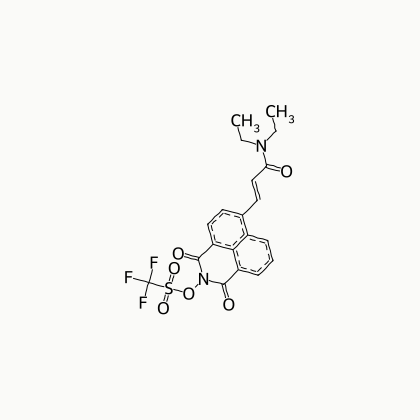 CCN(CC)C(=O)/C=C/c1ccc2c3c(cccc13)C(=O)N(OS(=O)(=O)C(F)(F)F)C2=O